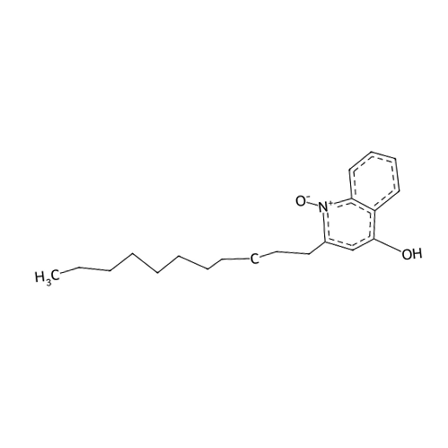 CCCCCCCCCCCc1cc(O)c2ccccc2[n+]1[O-]